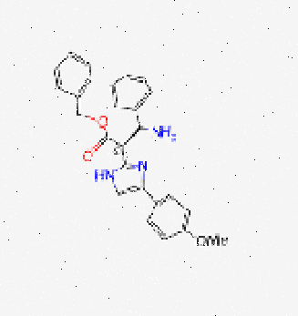 COc1ccc(-c2c[nH]c([C@@H](C(=O)OCc3ccccc3)C(N)c3ccccc3)n2)cc1